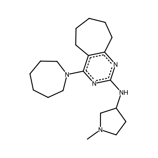 CN1CCC(Nc2nc3c(c(N4CCCCCC4)n2)CCCCC3)C1